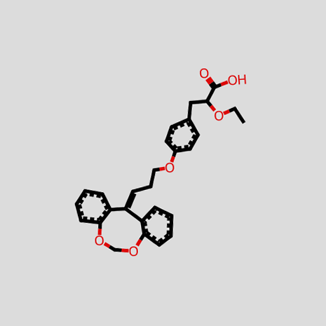 CCOC(Cc1ccc(OCCC=C2c3ccccc3OCOc3ccccc32)cc1)C(=O)O